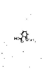 O=C(O)C1C=CC=CC1=O.[CaH2]